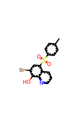 Cc1ccc(S(=O)(=O)c2cc(Br)c(O)c3ncccc23)cc1